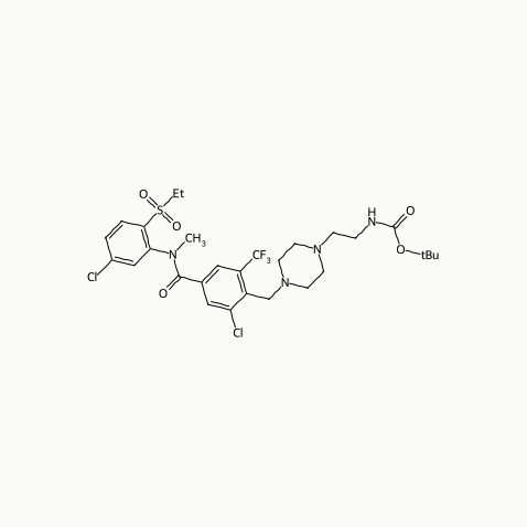 CCS(=O)(=O)c1ccc(Cl)cc1N(C)C(=O)c1cc(Cl)c(CN2CCN(CCNC(=O)OC(C)(C)C)CC2)c(C(F)(F)F)c1